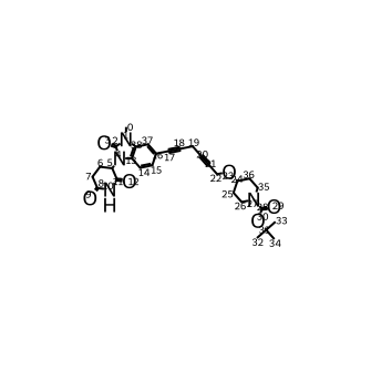 Cn1c(=O)n(C2CCC(=O)NC2=O)c2ccc(C#CCC#CCOC3CCN(C(=O)OC(C)(C)C)CC3)cc21